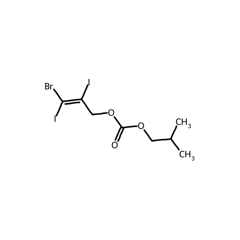 CC(C)COC(=O)OCC(I)=C(Br)I